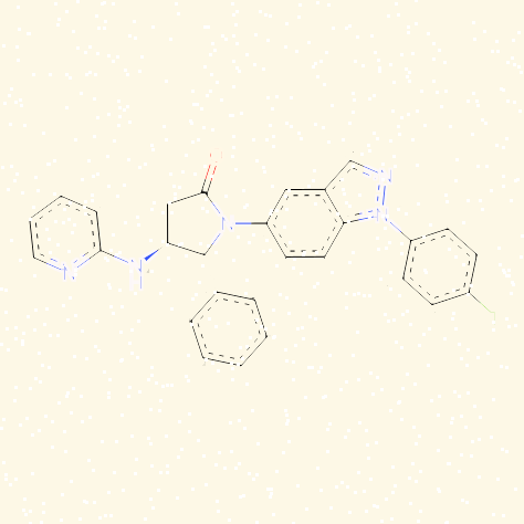 O=C1C[C@H](Nc2ccccn2)[C@@H](c2ccccc2)N1c1ccc2c(cnn2-c2ccc(F)cc2)c1